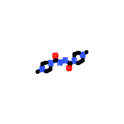 CN1CCN(C(=O)/N=N/C(=O)N2CCN(C)CC2)CC1